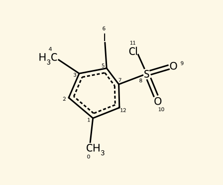 Cc1cc(C)c(I)c(S(=O)(=O)Cl)c1